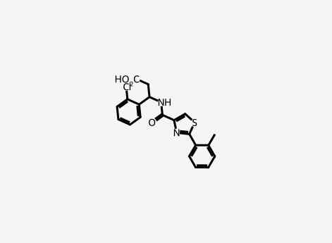 Cc1ccccc1-c1nc(C(=O)NC(CC(=O)O)c2ccccc2Cl)cs1